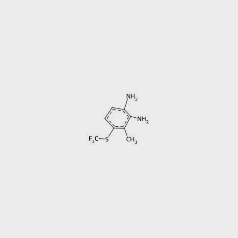 Cc1c(SC(F)(F)F)ccc(N)c1N